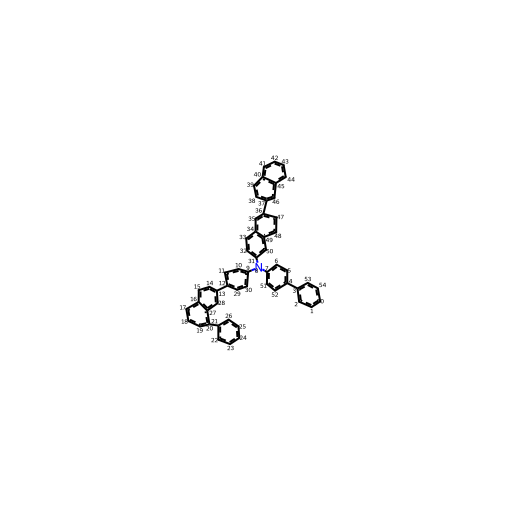 c1ccc(-c2ccc(N(c3ccc(-c4ccc5cccc(-c6ccccc6)c5c4)cc3)c3ccc4cc(-c5ccc6ccccc6c5)ccc4c3)cc2)cc1